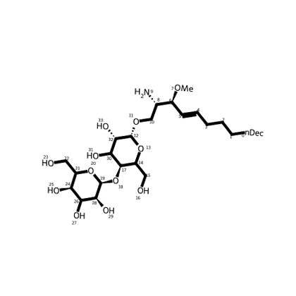 CCCCCCCCCCCCC/C=C/[C@H](OC)[C@@H](N)CO[C@@H]1OC(CO)[C@@H](O[C@@H]2OC(CO)[C@H](O)C(O)[C@@H]2O)C(O)[C@@H]1O